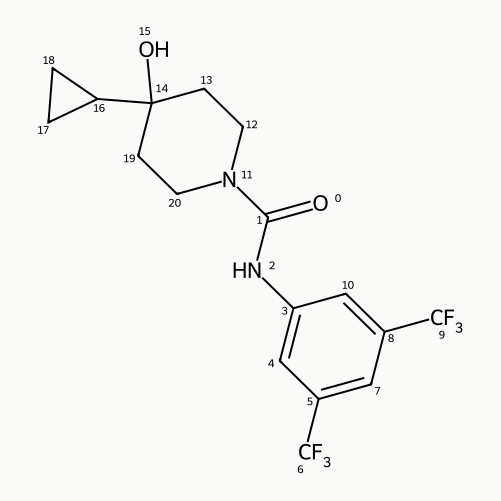 O=C(Nc1cc(C(F)(F)F)cc(C(F)(F)F)c1)N1CCC(O)(C2CC2)CC1